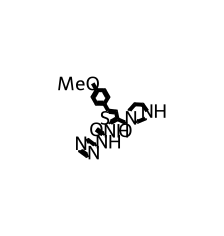 COc1ccc(-c2cc(C(=O)N3CCCNCC3)c(NC(=O)Nc3cnccn3)s2)cc1